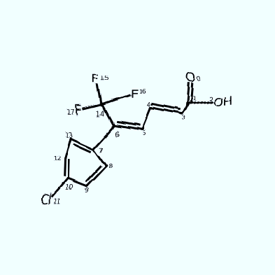 O=C(O)/C=C/C=C(/c1ccc(Cl)cc1)C(F)(F)F